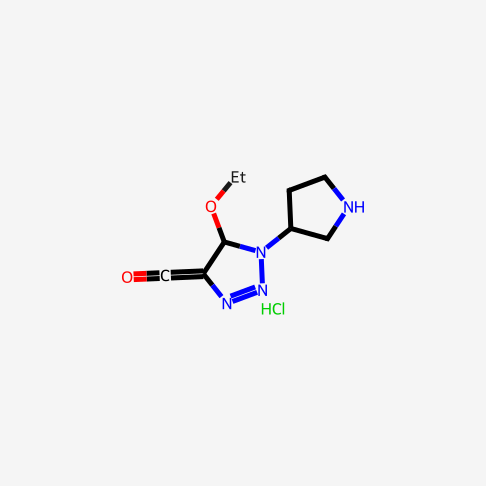 CCOC1C(=C=O)N=NN1C1CCNC1.Cl